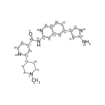 CN1CCC(c2cc(C(=O)Nc3cc4cc(-c5cnc(N)s5)ccc4cn3)ccn2)CC1